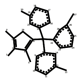 CC1=C(C)C(C)=C(C(c2cccc(C)c2)(c2cccc(C)c2)c2cccc(C)c2)C1